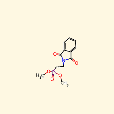 COP(=O)(CCN1C(=O)c2ccccc2C1=O)OC